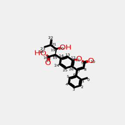 Cc1ccccc1-c1cc(=O)oc2cc([C@@H](C(=O)O)C(O)C(C)C)ccc12